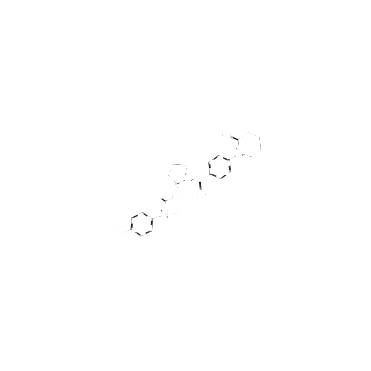 O=C(Nc1ccc(Cl)cc1)O[C@@H]1CCCN1C(=O)c1ccc(N2CCCCC2=O)cc1